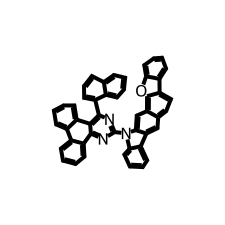 c1ccc2c(-c3nc(-n4c5ccccc5c5cc6ccc7c8ccccc8oc7c6cc54)nc4c5ccccc5c5ccccc5c34)cccc2c1